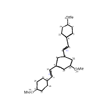 COC1CCC(/C=C/C2CC(/C=C/C3CCC(OC)CC3)CC(OC)C2)CC1